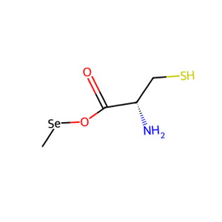 C[Se]OC(=O)[C@@H](N)CS